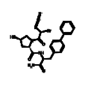 CC(C)C(N=[N+]=[N-])C(=O)N1C[C@H](O)C[C@H]1C(=O)NC(Cc1ccc(-c2ccccc2)cc1)C(N)=O